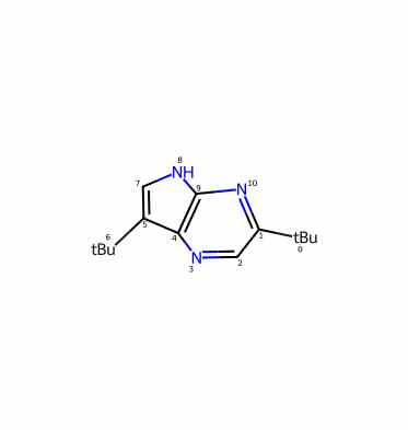 CC(C)(C)c1cnc2c(C(C)(C)C)c[nH]c2n1